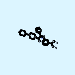 CC(C)c1cccc(/N=C(\C(=O)N2CCN(C3CCCCC3)CC2)c2cccs2)c1